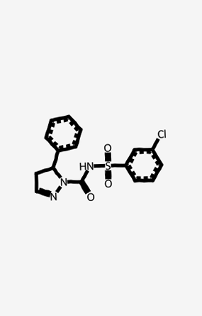 O=C(NS(=O)(=O)c1cccc(Cl)c1)N1N=CCC1c1ccccc1